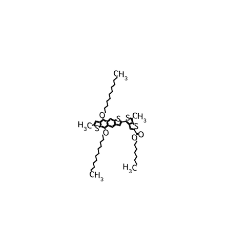 CCCCCCCCCCCCOc1c2cc3sc(-c4sc(C)c5sc(C(=O)OCCCCCCCC)cc45)cc3cc2c(OCCCCCCCCCCCC)c2sc(C)cc12